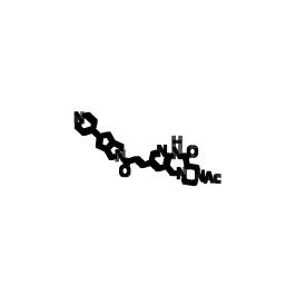 CC(=O)N1CCN2Cc3cc(/C=C/C(=O)N4CC5C=C(c6ccncc6)CC5C4)cnc3NC(=O)C2C1